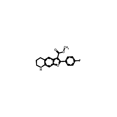 COC(=O)c1c(-c2ccc(F)cc2)oc2cc3c(cc12)CCCN3